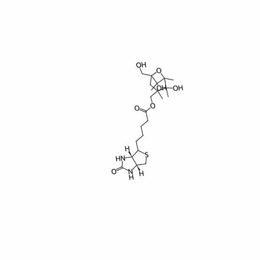 CC1(COC(=O)CCCCC2SC[C@@H]3NC(=O)N[C@H]23)CC2(CO)OC(C)(C1(C)O)C2(C)O